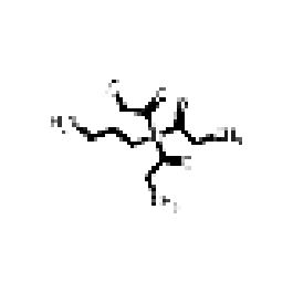 CC[C](=O)[Ti]([CH2]CCN)([C](=O)CC)[C](=O)CC